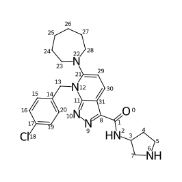 O=C(NC1CCNC1)c1nnc2n(Cc3ccc(Cl)cc3)c(N3CCCCCC3)ccc1-2